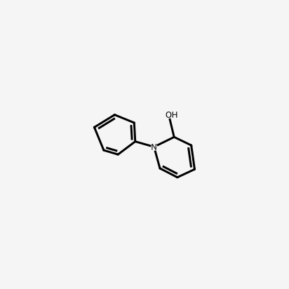 OC1C=CC=CN1c1ccccc1